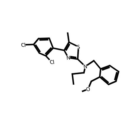 CCCN(Cc1ccccc1COC)c1nc(-c2ccc(Cl)cc2Cl)c(C)s1